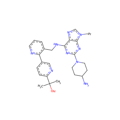 CC(C)n1cnc2c(NCc3cccnc3-c3ccc(C(C)(C)O)nc3)nc(N3CCC(N)CC3)nc21